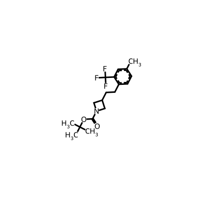 Cc1ccc(CCC2CN(C(=O)OC(C)(C)C)C2)c(C(F)(F)F)c1